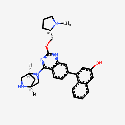 CN1CCC[C@H]1COc1nc(N2C[C@@H]3C[C@H]2CN3)c2ccc(-c3cc(O)cc4ccccc34)cc2n1